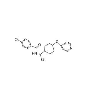 CCC(NC(=O)c1ccc(Cl)cc1)C1CCC(Oc2ccncc2)CC1